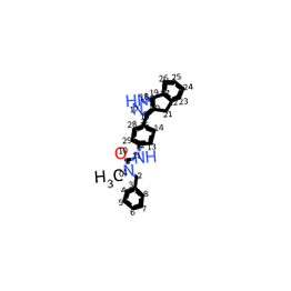 CN(Cc1ccccc1)C(=O)Nc1ccc(-c2n[nH]c3c2Cc2ccccc2-3)cc1